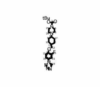 CC(C)(C)OC(=O)N1CCN(C2CCC(COc3ccc(-n4cnnn4)cc3F)CC2)CC1